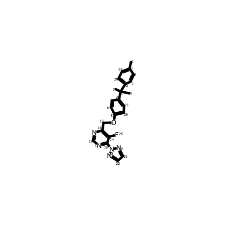 Cc1ccc(C(C)(C)c2ccc(OCc3ncnc(-n4nccn4)c3F)cc2)cc1